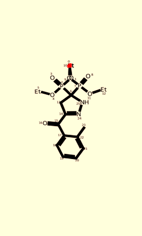 CCOP(=O)(OCC)C1(P(=O)(OCC)OCC)CC(C(=O)c2ccccc2C)=NN1